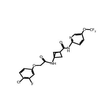 O=C(COc1ccc(Cl)c(F)c1)NC12CC(C(=O)Nc3ccc(OC(F)(F)F)cn3)(C1)C2